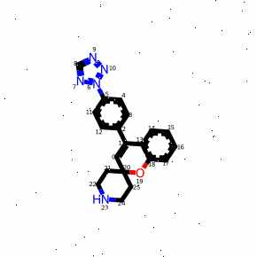 C1=C(c2ccc(-n3ncnn3)cc2)c2ccccc2OC12CCNCC2